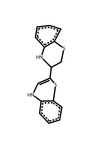 [C]1Sc2ccccc2NC1C1=CNc2ccccc2S1